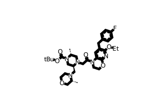 CCOc1nc2c(cc1Cc1ccc(F)cc1)N(C(=O)CN1C[C@@H](C)N(C(=O)OC(C)(C)C)C[C@@H]1CN1CCOC[C@H]1C)CCO2